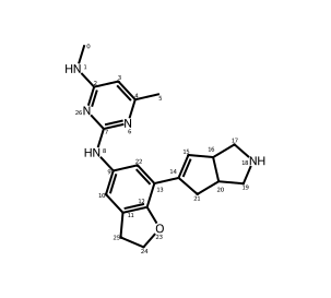 CNc1cc(C)nc(Nc2cc3c(c(C4=CC5CNCC5C4)c2)OCC3)n1